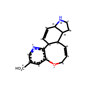 O=C(O)c1cnc2c(c1)OC/C=C\C1C2C=CC2NCCC21